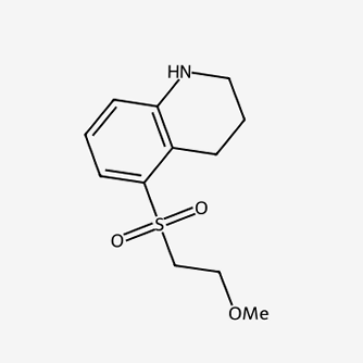 COCCS(=O)(=O)c1cccc2c1CCCN2